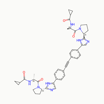 C[C@@H](NC(=O)C1CC1)C(=O)N1CCC[C@H]1c1ncc(-c2ccc(C#Cc3ccc(-c4cnc([C@@H]5CCCN5C(=O)[C@@H](C)NC(=O)C5CC5)[nH]4)cc3)cc2)[nH]1